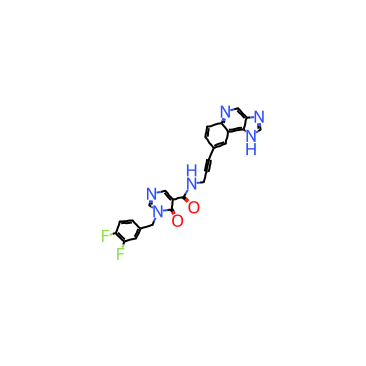 O=C(NCC#Cc1ccc2ncc3nc[nH]c3c2c1)c1cncn(Cc2ccc(F)c(F)c2)c1=O